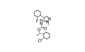 C[C@@H](OC(=O)Nc1c(-c2ccccc2F)cnn1C)c1ccccc1Cl